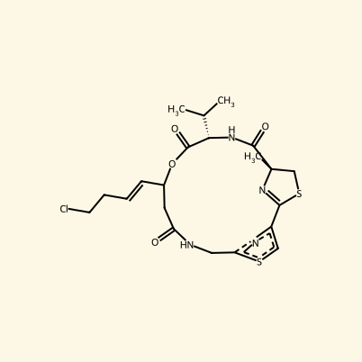 CC(C)[C@@H]1NC(=O)C2(C)CSC(=N2)c2csc(n2)CNC(=O)CC(/C=C/CCCl)OC1=O